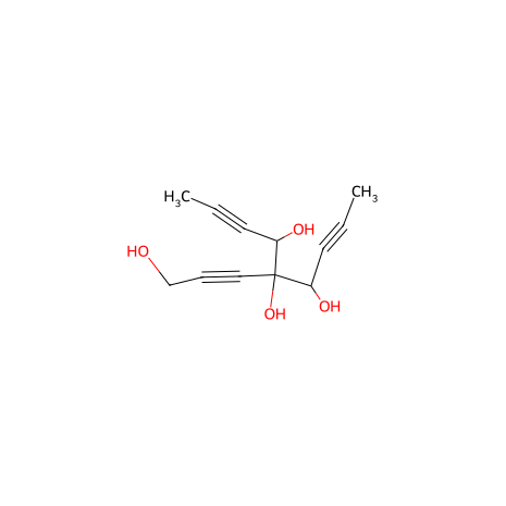 CC#CC(O)C(O)(C#CCO)C(O)C#CC